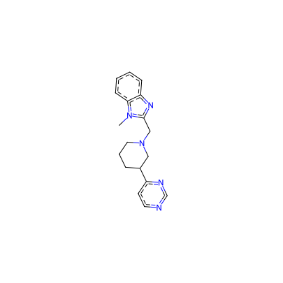 Cn1c(CN2CCCC(c3ccncn3)C2)nc2ccccc21